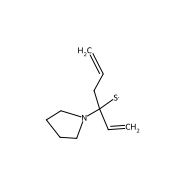 C=CCC([S])(C=C)N1CCCC1